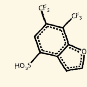 O=S(=O)(O)c1cc(C(F)(F)F)c(C(F)(F)F)c2occc12